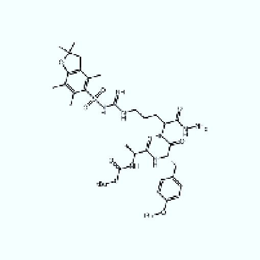 Cc1c(C)c(S(=O)(=O)NC(=N)NCCCC(NC(=O)[C@H](Cc2ccc(OC(C)(C)C)cc2)NC(=O)[C@H](C)NC(=O)OC(C)(C)C)C(=O)NN)c(C)c2c1OC(C)(C)C2